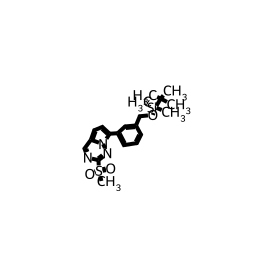 CC(C)(C)[Si](C)(C)OCc1cccc(-c2ccc3cnc(S(C)(=O)=O)nn23)c1